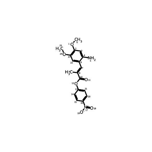 COc1cc(N)c(/C=C(\C)C(=O)Oc2ccc([N+](=O)[O-])cc2)cc1OC